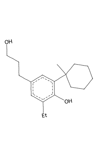 CCc1cc(CCCO)cc(C2(C)CCCCC2)c1O